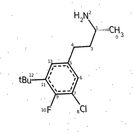 C[C@@H](N)CCc1cc(Cl)c(F)c(C(C)(C)C)c1